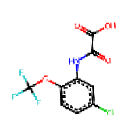 O=C(O)C(=O)Nc1cc(Cl)ccc1OC(F)(F)F